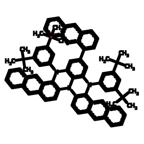 CC(C)(C)c1cc(N2c3cc(-c4cccc5cc6ccccc6cc45)cc4c3B(c3ccc5cc6ccccc6cc5c32)c2ccc3cc5ccccc5cc3c2N4c2cc(C(C)(C)C)cc(C(C)(C)C)c2)cc(C(C)(C)C)c1